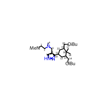 CNCCN(C)Cc1c[nH]nc1C1CC(COCC(C)C)C(C)(C)C(COCC(C)C)C1